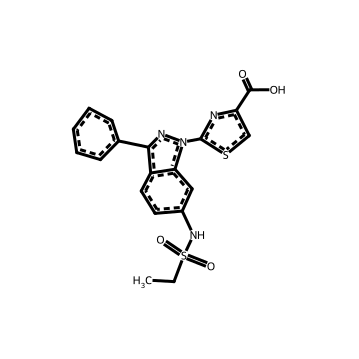 CCS(=O)(=O)Nc1ccc2c(-c3ccccc3)nn(-c3nc(C(=O)O)cs3)c2c1